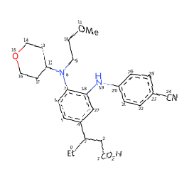 CCC(CC(=O)O)c1ccc(N(CCOC)C2CCOCC2)c(Nc2ccc(C#N)cc2)c1